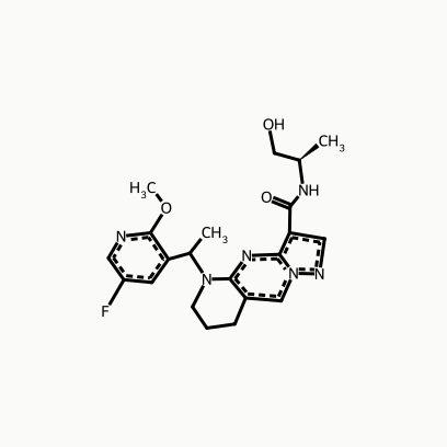 COc1ncc(F)cc1C(C)N1CCCc2cn3ncc(C(=O)N[C@H](C)CO)c3nc21